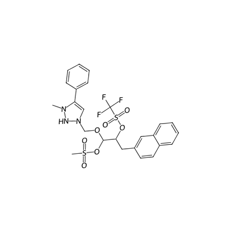 CN1NN(COC(OS(C)(=O)=O)C(Cc2ccc3ccccc3c2)OS(=O)(=O)C(F)(F)F)C=C1c1ccccc1